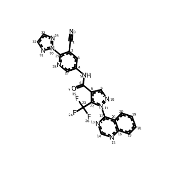 N#Cc1cc(NC(=O)c2cnn(-c3ncnc4ccccc34)c2C(F)(F)F)cnc1-n1nccn1